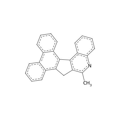 Cc1nc2ccccc2c2c1Cc1c-2c2ccccc2c2ccccc12